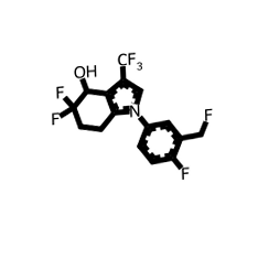 OC1c2c(C(F)(F)F)cn(-c3ccc(F)c(CF)c3)c2CCC1(F)F